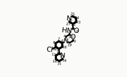 O=C(NC1CN(c2ccc(Cl)c(-c3ccccn3)c2)CCO1)c1cccnc1